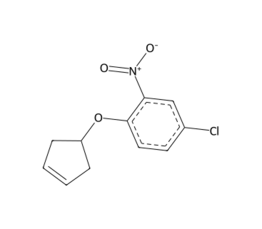 O=[N+]([O-])c1cc(Cl)ccc1OC1CC=CC1